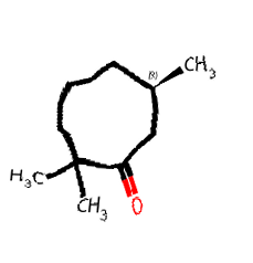 C[C@@H]1CCCC(C)(C)C(=O)C1